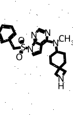 CN(c1ncnc2c1ccn2S(=O)(=O)Cc1ccccc1)C1CCC2(CC1)CNC2